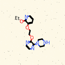 CCOc1ncccc1OCCOc1nccnc1N1CCNCC1